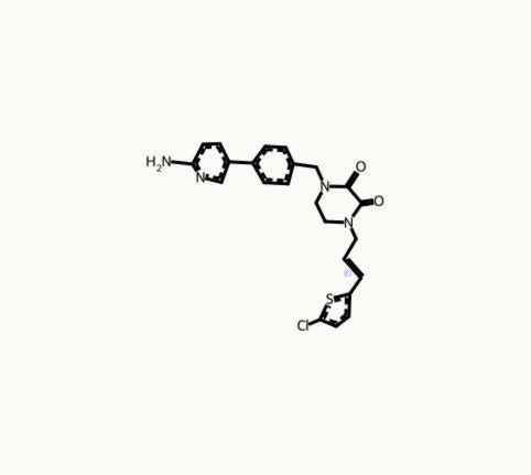 Nc1ccc(-c2ccc(CN3CCN(C/C=C/c4ccc(Cl)s4)C(=O)C3=O)cc2)cn1